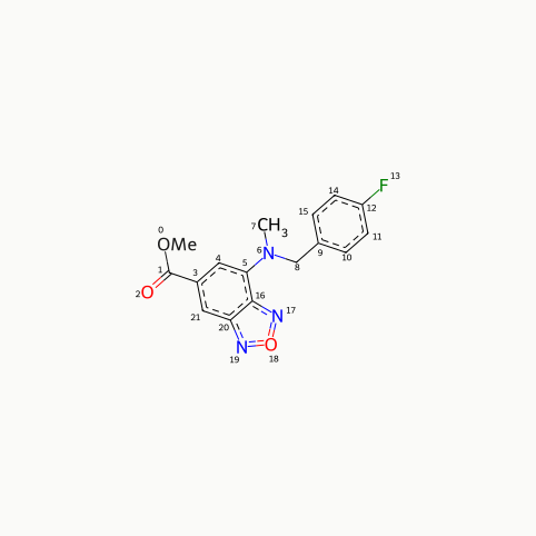 COC(=O)c1cc(N(C)Cc2ccc(F)cc2)c2nonc2c1